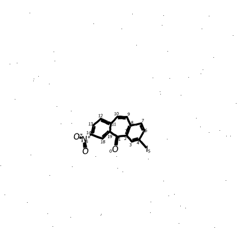 O=c1c2cc(I)ccc2ccc2ccc([N+](=O)[O-])cc12